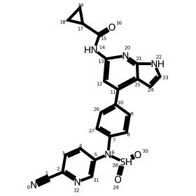 N#Cc1ccc(N(c2ccc(-c3cc(NC(=O)C4CC4)nc4[nH]ccc34)cc2)[SH](=O)=O)cn1